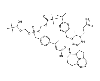 C/C(=C\C(=O)N[C@H]1CCc2cccc3c2N(C1=O)[C@H](C(=O)N[C@@H](CCC(N)=O)[C@@H](C)OCc1ccc(C(C)C)cc1)C3)c1ccc(CP(=O)(OCOC(=O)C(C)(C)C)OCOC(O)C(C)(C)C)cc1